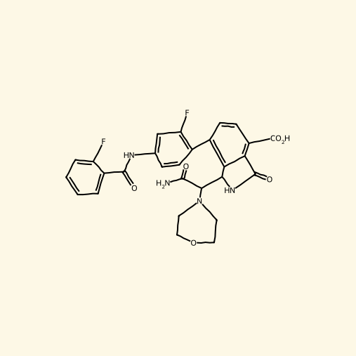 NC(=O)C(C1NC(=O)c2c(C(=O)O)ccc(-c3ccc(NC(=O)c4ccccc4F)cc3F)c21)N1CCOCC1